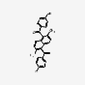 Cc1ccc2c(C(=O)c3ccc(O)cc3)c(C)ccc2c1C(=O)c1ccc(O)cc1